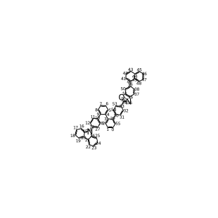 c1ccc(-c2ccccc2-c2ccc(-n3c4ccccc4c4ccccc43)cc2)c(-c2ccc(-c3nc4ccc(-c5cccc6ccccc56)cc4o3)cc2)c1